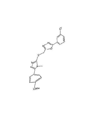 COc1ccc(-c2nnc(SCc3nnc(-c4cccc(Cl)c4)o3)n2C)cc1